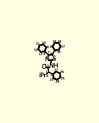 CC(C)C(C(=O)Nc1nc(-c2ccccc2)c(-c2ccccc2)s1)c1ccccc1